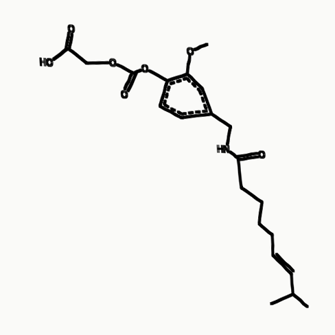 COc1cc(CNC(=O)CCCCC=CC(C)C)ccc1OC(=O)OCC(=O)O